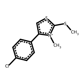 CSc1scc(-c2ccc(Cl)cc2)[n+]1C